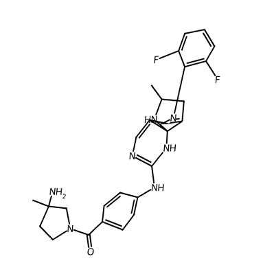 CC1CC2=CN(c3c(F)cccc3F)CCC3=CN=C(Nc4ccc(C(=O)N5CCC(C)(N)C5)cc4)NC32N1